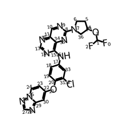 FC(F)O[C@@H]1CCN(c2ncc3ncnc(Nc4ccc(Oc5ccn6ncnc6c5)c(Cl)c4)c3n2)C1